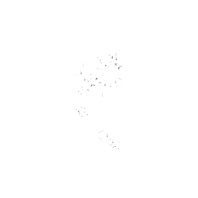 CC[C@H]1OC(=O)[C@H](C)C(=O)[C@H](C)[C@@H](O[C@@H]2O[C@H](C)C[C@H](N(C)CCc3cn(CCCCc4ccc(-n5ccnn5)cc4)nn3)[C@H]2O)[C@](C)(OC)C[C@@H](C)C2=NCCN3C(=O)O[C@@]1(C)[C@H]3[C@H]2C